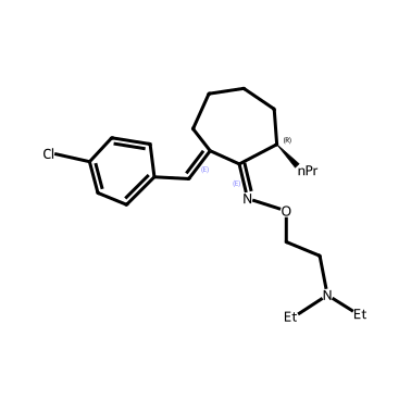 CCC[C@@H]1CCCCC(=C\c2ccc(Cl)cc2)/C1=N/OCCN(CC)CC